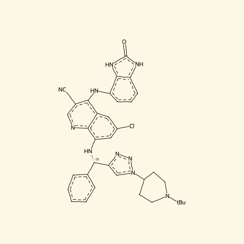 CC(C)(C)N1CCC(n2cc([C@@H](Nc3cc(Cl)cc4c(Nc5cccc6[nH]c(=O)[nH]c56)c(C#N)cnc34)c3ccccc3)nn2)CC1